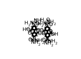 NC(=O)N(N)c1ccc(-c2ccc(N(N)C(N)=O)cc2C(=O)O)c(C(=O)O)c1.NC(=O)N(N)c1ccc(-c2ccc(N(N)C(N)=O)cc2C(=O)O)c(C(=O)O)c1.O